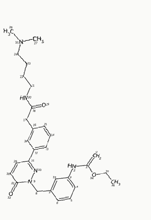 C=C(Nc1cccc(Cn2nc(-c3cccc(CC(=O)NCCCCN(C)C)c3)ccc2=O)c1)OCC